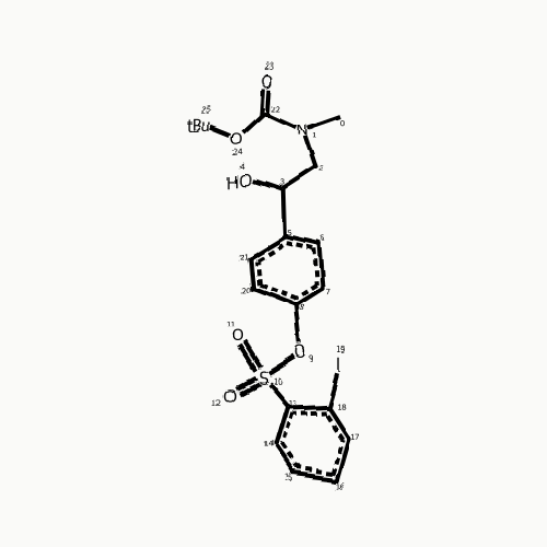 CN(CC(O)c1ccc(OS(=O)(=O)c2ccccc2I)cc1)C(=O)OC(C)(C)C